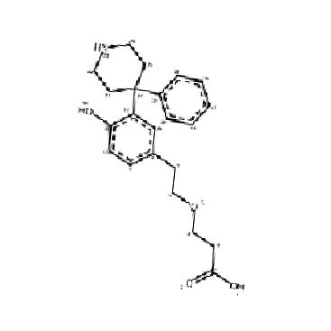 O=C(O)CCOCCc1ccc(O)c(C2(c3ccccc3)CCNCC2)c1